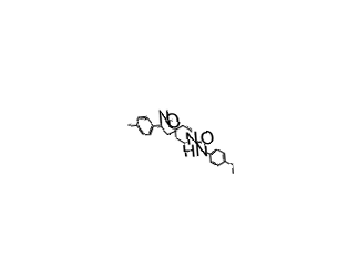 CCc1ccc(NC(=O)N2CCC3(CC2)CC(c2ccc(C)cc2)=NO3)cc1